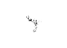 B=C(N)c1c(-c2ccc3cn(Cc4ccccc4)nc3c2)cc(-c2ccc(CN3CCCC3)cc2)n1N